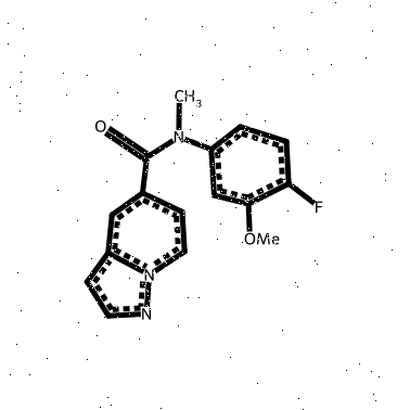 COc1cc(N(C)C(=O)c2ccn3nccc3c2)ccc1F